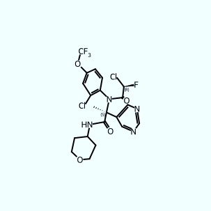 C[C@@](C(=O)NC1CCOCC1)(c1cncnc1)N(C(=O)[C@H](F)Cl)c1ccc(OC(F)(F)F)cc1Cl